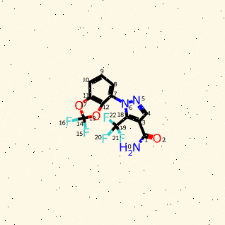 NC(=O)c1cnn(-c2cccc3c2OC(F)(F)O3)c1C(F)(F)F